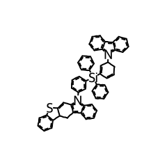 C1=CC([Si](c2ccccc2)(c2ccccc2)c2cccc(-n3c4c(c5ccccc53)CC3C(=C4)Sc4ccccc43)c2)=CC(n2c3ccccc3c3ccccc32)C1